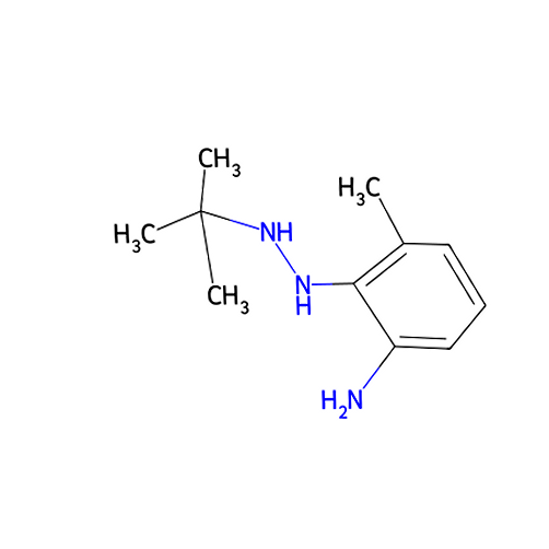 Cc1cccc(N)c1NNC(C)(C)C